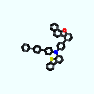 c1ccc(-c2ccc(-c3ccc(N(c4ccc(-c5cccc6oc7c8ccccc8ccc7c56)cc4)c4cccc5c4sc4ccccc45)cc3)cc2)cc1